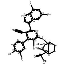 N#Cc1c(-c2c[nH]c3c(F)cc(F)cc23)nc(N[C@H]2C3CCC(CC3)[C@@H]2C(=O)O)c(F)c1-c1ccc(F)c(F)c1